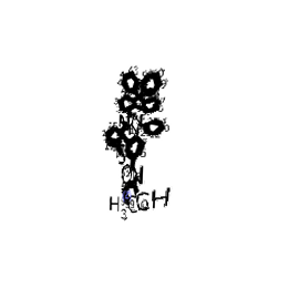 C#Cc1nc(-c2cccc3c2sc2cccc(-c4nc(-c5ccccc5)nc(-c5cccc6c5-c5ccccc5C6(c5ccccc5)c5ccccc5)n4)c23)oc1/C=C\C